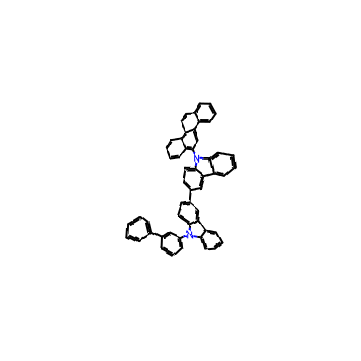 c1ccc(-c2cccc(-n3c4ccccc4c4cc(-c5ccc6c(c5)c5ccccc5n6-c5cc6c7ccccc7ccc6c6ccccc56)ccc43)c2)cc1